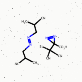 CC(C#N)CN=NCC(C)C#N.CCC(C#N)(C#N)C1(C(=O)O)N=N1